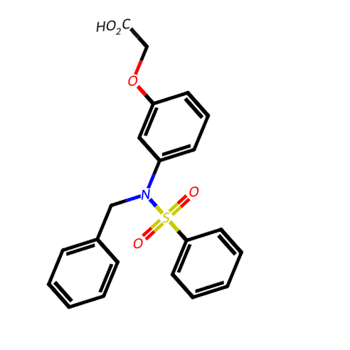 O=C(O)COc1cccc(N(Cc2ccccc2)S(=O)(=O)c2ccccc2)c1